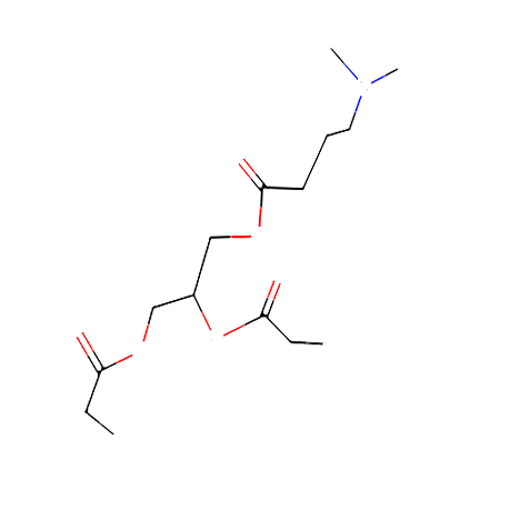 CCCCCCCCCCCC(=O)OCC(COC(=O)CCCN(C)C)OC(=O)CCCCCCCCCCC